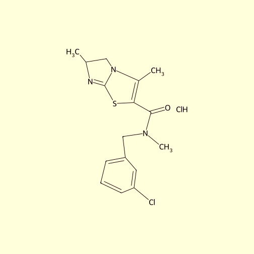 CC1=C(C(=O)N(C)Cc2cccc(Cl)c2)SC2=NC(C)CN21.Cl